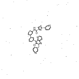 O=C(Nc1cccc(-c2cccc(-n3c(=O)c(Cc4cccnc4)nc4cccnc43)c2)c1)c1csc(-c2cccnc2)n1